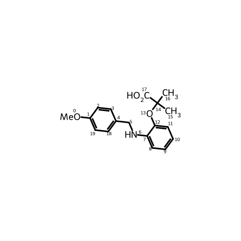 COc1ccc(CNc2ccccc2OC(C)(C)C(=O)O)cc1